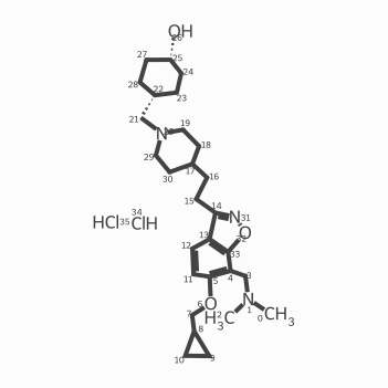 CN(C)Cc1c(OCC2CC2)ccc2c(CCC3CCN(C[C@H]4CC[C@@H](O)CC4)CC3)noc12.Cl.Cl